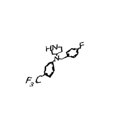 Fc1ccc(CN(c2ccc(C(F)(F)F)cc2)C2CCNCC2)cc1